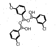 COc1cccc(B(OB(O)c2cccc(Cl)c2)OB(O)c2cccc(Cl)c2)c1